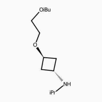 CC(C)COCCO[C@H]1C[C@H](NC(C)C)C1